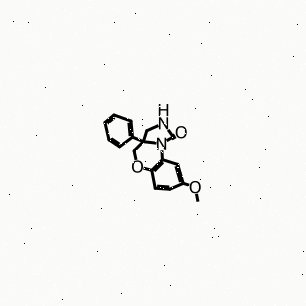 COc1ccc2c(c1)N1C(=O)NCC1(c1ccccc1)CO2